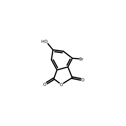 O=C1OC(=O)c2c(Br)cc(O)cc21